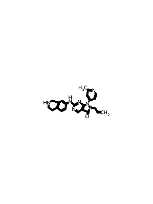 C=CCn1c(=O)c2cnc(Nc3ccc4c(c3)CNCC4)nc2n1-c1ccnc(C)c1